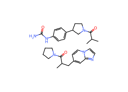 CC(C)C(=O)N1CCC(c2ccc(NC(N)=O)cc2)C1.CC(Cc1ccn2ccnc2c1)C(=O)N1CCCC1